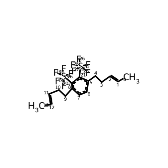 C/C=C/CCc1ccc(CC/C=C/C)c(S(F)(F)(F)(F)F)c1S(F)(F)(F)(F)F